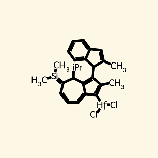 CC1=Cc2ccccc2C1C1=C2C(=CC=CC(=[Si](C)C)C2C(C)C)[C]([Hf]([Cl])[Cl])=C1C